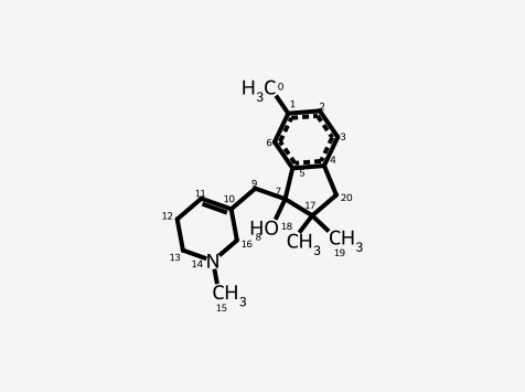 Cc1ccc2c(c1)C(O)(CC1=CCCN(C)C1)C(C)(C)C2